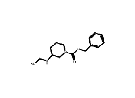 N#CCNC1CCCN(C(=O)OCc2ccccc2)C1